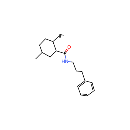 CC1CCC(C(C)C)C(C(=O)NCCCc2ccccc2)C1